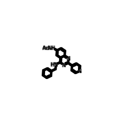 CC(=O)Nc1ccc2nc(-c3ccncc3)nc(NCc3ccccc3)c2c1